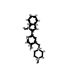 CN1CCN(Cc2cc(-c3cc4ccccc4n3C)ncc2F)CC1